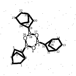 C1CC2CC1CC2B1OB(C2CC3CCC2C3)OB(C2CC3CCC2C3)O1